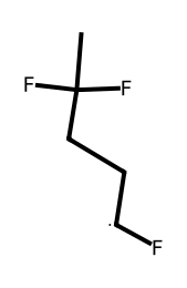 CC(F)(F)CC[CH]F